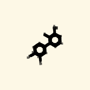 Cc1c(O)cncc1-c1ccc(F)c(F)c1